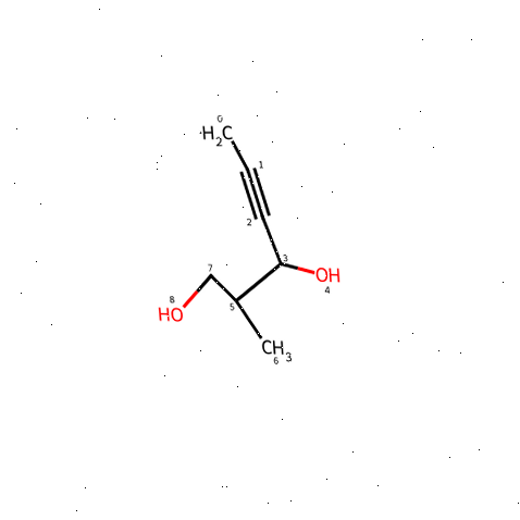 [CH2]C#CC(O)C(C)CO